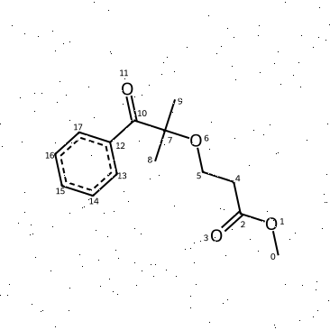 COC(=O)CCOC(C)(C)C(=O)c1ccccc1